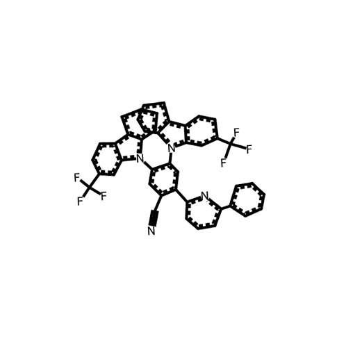 N#Cc1cc(-n2c3ccccc3c3ccc(C(F)(F)F)cc32)c(-n2c3ccccc3c3ccc(C(F)(F)F)cc32)cc1-c1cccc(-c2ccccc2)n1